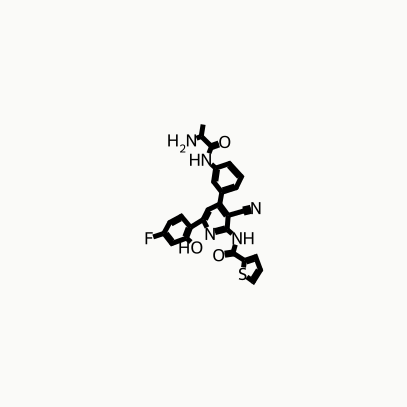 CC(N)C(=O)Nc1cccc(-c2cc(-c3ccc(F)cc3O)nc(NC(=O)c3cccs3)c2C#N)c1